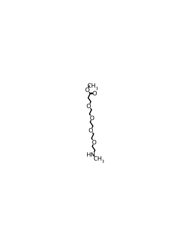 CNCCOCCOCCOCCOCCC(=O)OC